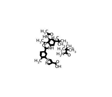 CC(C)(C)C(N)=O.COc1c(NC(C)=O)cc(C(C)(C)C)cc1NC(=O)c1ccc(C)c(-n2cc(C(=O)O)cn2)c1